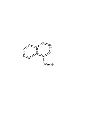 CCC[C](C)c1cccc2ccccc12